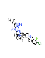 Cc1cc(Nc2cc(C)[nH]n2)nc(C[C@@]2(C(=O)O)CCN(Cc3cccc(Cl)c3F)[C@H](C)C2)n1